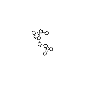 c1ccc(-c2cccc(N3c4ccccc4Sc4cc(-c5cccc(-c6ccc7c8ccccc8n(-c8ccccc8)c7c6)c5)ccc43)c2)cc1